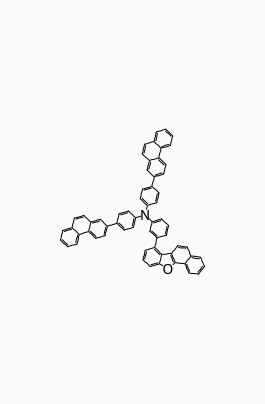 c1cc(-c2cccc3oc4c5ccccc5ccc4c23)cc(N(c2ccc(-c3ccc4c(ccc5ccccc54)c3)cc2)c2ccc(-c3ccc4c(ccc5ccccc54)c3)cc2)c1